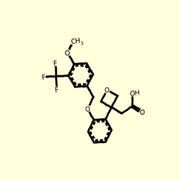 COc1ccc(COc2ccccc2C2(CC(=O)O)COC2)cc1C(F)(F)F